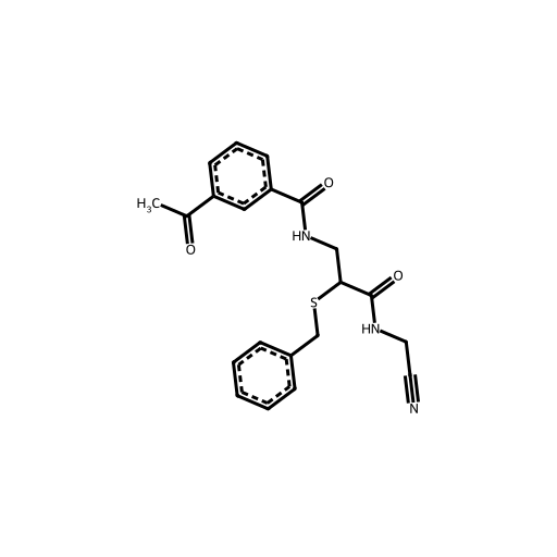 CC(=O)c1cccc(C(=O)NCC(SCc2ccccc2)C(=O)NCC#N)c1